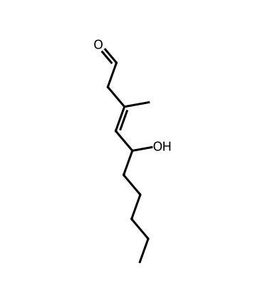 CCCCCC(O)/C=C(\C)CC=O